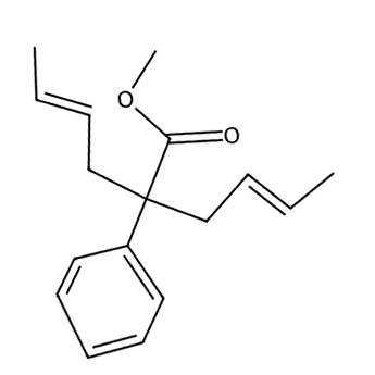 CC=CCC(CC=CC)(C(=O)OC)c1ccccc1